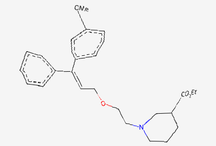 CCOC(=O)C1CCCN(CCOC/C=C(/c2ccccc2)c2cccc(OC)c2)C1